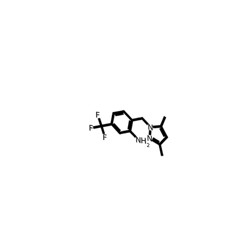 Cc1cc(C)n(Cc2ccc(C(F)(F)F)cc2N)n1